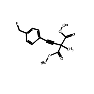 CC(C)(C)OC(=O)C(C)(C#Cc1ccc(CF)cc1)C(=O)OC(C)(C)C